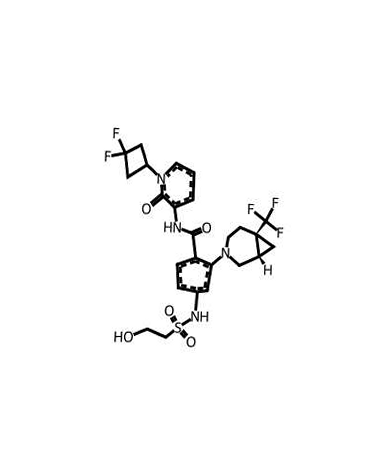 O=C(Nc1cccn(C2CC(F)(F)C2)c1=O)c1ccc(NS(=O)(=O)CCO)cc1N1CC[C@]2(C(F)(F)F)C[C@@H]2C1